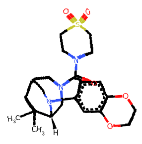 CC1(C)CC2CN(C(=O)N3CCS(=O)(=O)CC3)C[C@H]1N(c1ccc3c(c1)OCCO3)C2